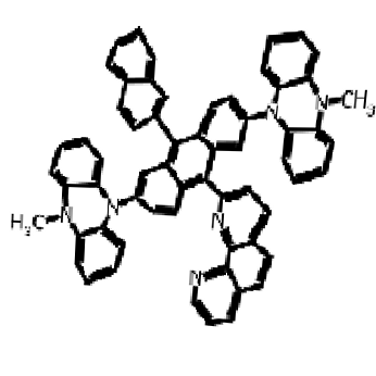 CN1c2ccccc2N(c2ccc3c(-c4ccc5ccc6cccnc6c5n4)c4cc(N5c6ccccc6N(C)c6ccccc65)ccc4c(-c4ccc5ccccc5c4)c3c2)c2ccccc21